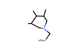 CCCCCCN1CC(C)C(C)C(C)C1